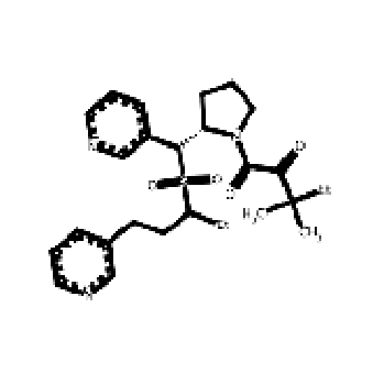 CCC(CCc1cccnc1)S(=O)(=O)C(c1cccnc1)[C@@H]1CCCN1C(=O)C(=O)C(C)(C)CC